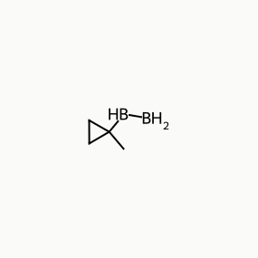 BBC1(C)CC1